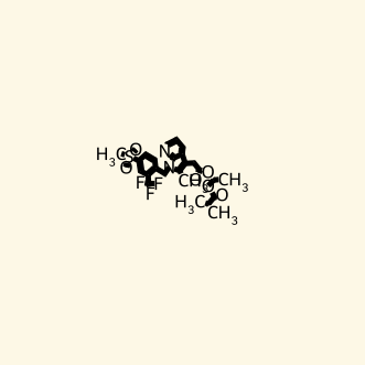 Cc1c(CC(=O)OC(C)OC(=O)C(C)C)c2cccnc2n1Cc1ccc(S(C)(=O)=O)cc1C(F)(F)F